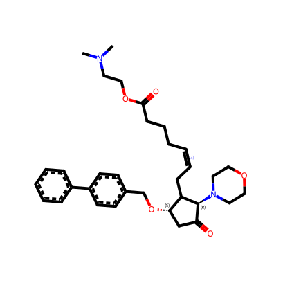 CN(C)CCOC(=O)CCC/C=C\CC1[C@@H](OCc2ccc(-c3ccccc3)cc2)CC(=O)[C@@H]1N1CCOCC1